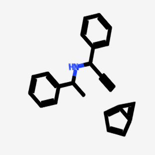 C#CC(NC(C)c1ccccc1)c1ccccc1.c1cc2cc-2c1